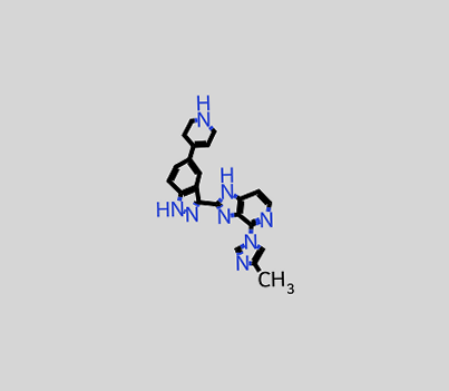 Cc1cn(-c2nccc3[nH]c(-c4n[nH]c5ccc(C6=CCNCC6)cc45)nc23)cn1